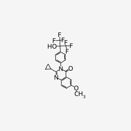 COc1ccc2nc(C3CC3)n(-c3ccc(C(O)(C(F)(F)F)C(F)(F)F)cc3)c(=O)c2c1